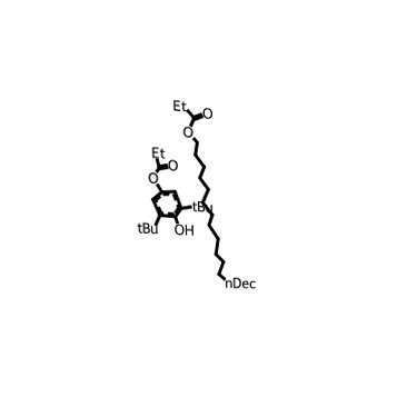 CCC(=O)Oc1cc(C(C)(C)C)c(O)c(C(C)(C)C)c1.CCCCCCCCCCCCCCCCCCCCCCOC(=O)CC